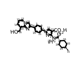 CC(C)N(c1nn(-c2ccc(-c3cn4cccc(CO)c4n3)cc2)cc1C(=O)O)C(=O)[C@H]1CC[C@H](C)CC1